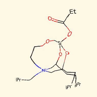 CCC(=O)O[Si]12OCC[N+](CC(C)C)(CC(CC(C)C)O1)CC(CC(C)C)O2